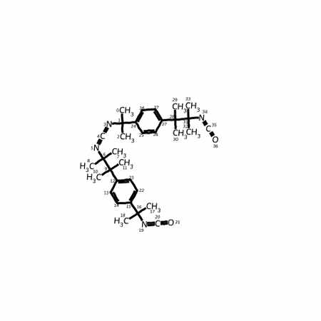 CC(C)(N=C=NC(C)(C)C(C)(C)c1ccc(C(C)(C)N=C=O)cc1)c1ccc(C(C)(C)C(C)(C)N=C=O)cc1